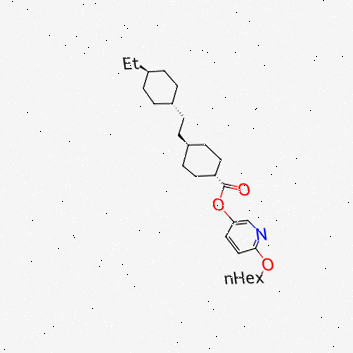 CCCCCCOc1ccc(OC(=O)[C@H]2CC[C@H](CC[C@H]3CC[C@H](CC)CC3)CC2)cn1